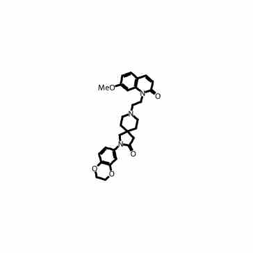 COc1ccc2ccc(=O)n(CCN3CCC4(CC3)CC(=O)N(c3ccc5c(c3)OCCO5)C4)c2c1